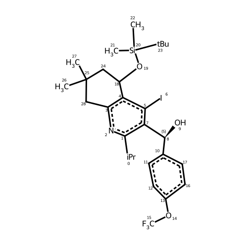 CC(C)c1nc2c(c(I)c1[C@@H](O)c1ccc(OC(F)(F)F)cc1)C(O[Si](C)(C)C(C)(C)C)CC(C)(C)C2